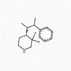 CC(c1ccccc1)N(C)[C@@H]1CCNCC1(F)F